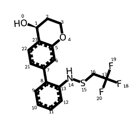 O[C@H]1CCOc2cc(-c3ccccc3NSCC(F)(F)F)ccc21